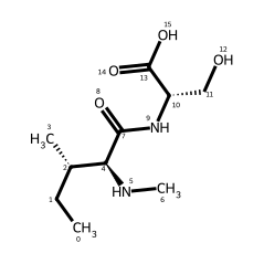 CC[C@H](C)[C@H](NC)C(=O)N[C@@H](CO)C(=O)O